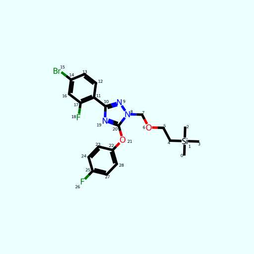 C[Si](C)(C)CCOCn1nc(-c2ccc(Br)cc2F)nc1Oc1ccc(F)cc1